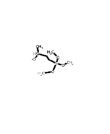 CO[Si](CC[SiH](C)[O])(OC)OC